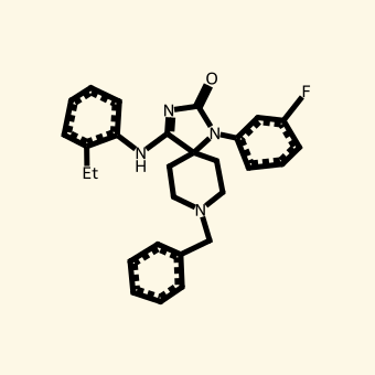 CCc1ccccc1NC1=NC(=O)N(c2cccc(F)c2)C12CCN(Cc1ccccc1)CC2